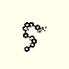 O=P(O)(O)c1ccc(-c2ccc3ccc4ccc(-c5cccc(-c6ccc7ccc8ccc(-c9ccccc9)nc8c7n6)c5)nc4c3n2)cc1